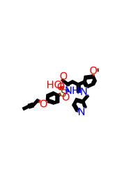 CC#CCOc1ccc(S(=O)(=O)NC(Cc2cn(Cc3cccnc3)c3ccc(OC)cc23)C(=O)O)cc1